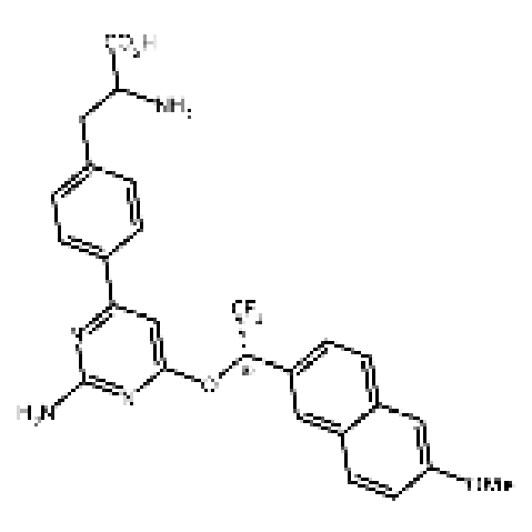 COc1ccc2cc([C@H](Oc3cc(-c4ccc(CC(N)C(=O)O)cc4)nc(N)n3)C(F)(F)F)ccc2c1